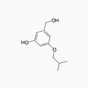 CC(C)COc1cc(O)cc(CO)c1